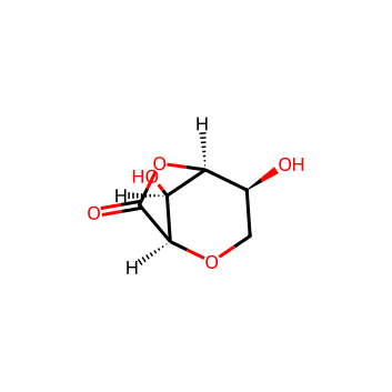 O=C1O[C@@H]2[C@H](O)[C@H]1OC[C@@H]2O